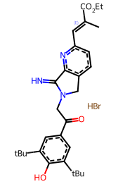 Br.CCOC(=O)/C(C)=C/c1ccc2c(n1)C(=N)N(CC(=O)c1cc(C(C)(C)C)c(O)c(C(C)(C)C)c1)C2